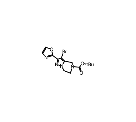 CC(C)(C)OC(=O)N1CCn2nc(-c3ncco3)c(Br)c2C1